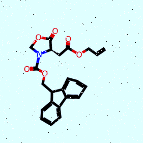 C=CCOC(=O)C[C@@H]1C(=O)OCN1C(=O)OCC1c2ccccc2-c2ccccc21